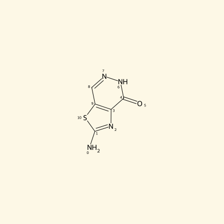 Nc1nc2c(=O)[nH]ncc2s1